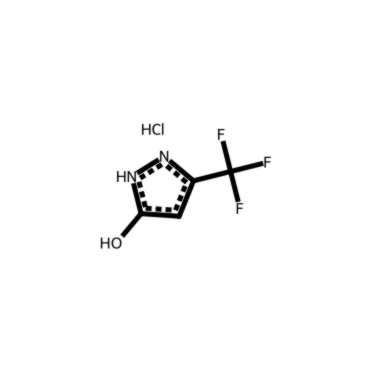 Cl.Oc1cc(C(F)(F)F)n[nH]1